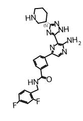 Nc1ncc(-c2cccc(C(=O)NCc3ccc(F)cc3F)c2)nc1-c1nc([C@H]2CCCNC2)n[nH]1